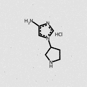 Cl.Nc1cn(C2CCNC2)cn1